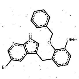 COc1cccc(Cc2c[nH]c3ncc(Br)cc23)c1OCc1ccccc1